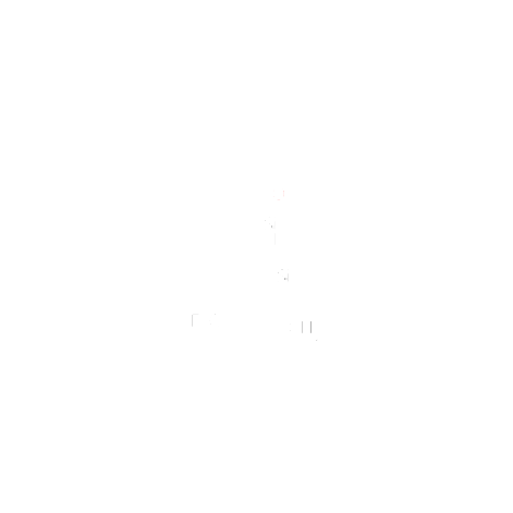 C=C[Si](CCC(F)(F)F)C[SiH]1CCCCO1